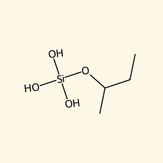 CCC(C)O[Si](O)(O)O